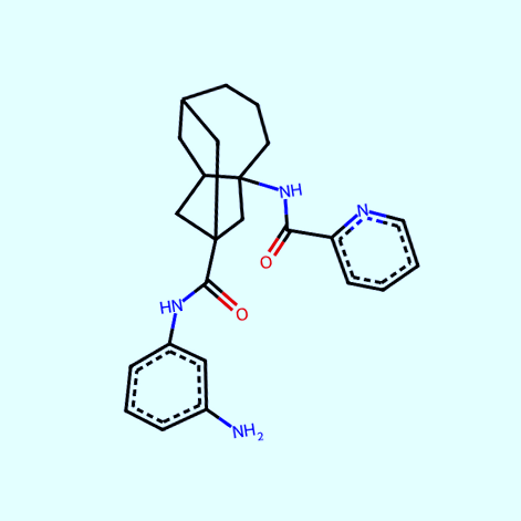 Nc1cccc(NC(=O)C23CC4CCCC(NC(=O)c5ccccn5)(C2)C(C4)C3)c1